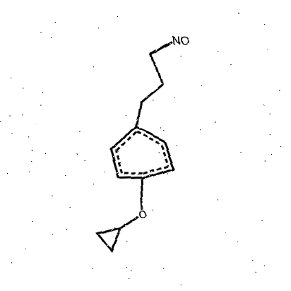 O=NCCCc1ccc(OC2CC2)cc1